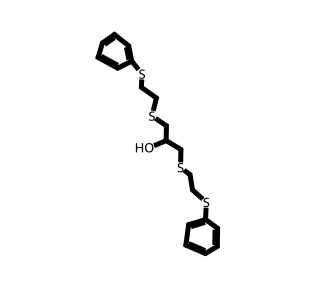 OC(CSCCSc1ccccc1)CSCCSc1ccccc1